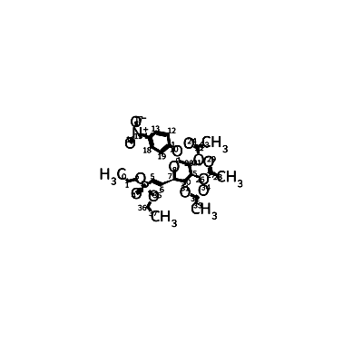 CCOP(=O)(/C=C/[C@H]1O[C@H](Oc2ccc([N+](=O)[O-])cc2)[C@@H](OC(C)=O)[C@@H](OC(C)=O)[C@@H]1OC(C)=O)OCC